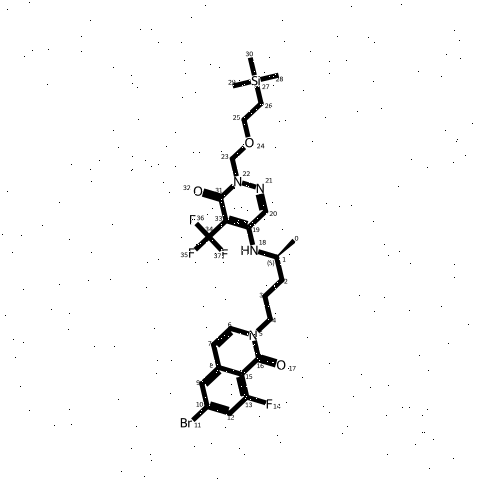 C[C@@H](CCCn1ccc2cc(Br)cc(F)c2c1=O)Nc1cnn(COCC[Si](C)(C)C)c(=O)c1C(F)(F)F